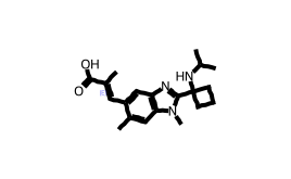 C/C(=C\c1cc2nc(C3(NC(C)C)CCC3)n(C)c2cc1C)C(=O)O